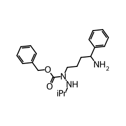 CC(C)NN(CCCC(N)c1ccccc1)C(=O)OCc1ccccc1